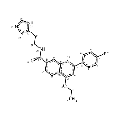 CCOc1cc(-c2ccc(F)cc2)nc2cc(C(=O)NCCc3nnc[nH]3)ccc12